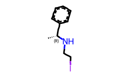 C[C@@H](NCCI)c1ccccc1